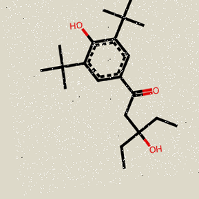 CCC(O)(CC)CC(=O)c1cc(C(C)(C)C)c(O)c(C(C)(C)C)c1